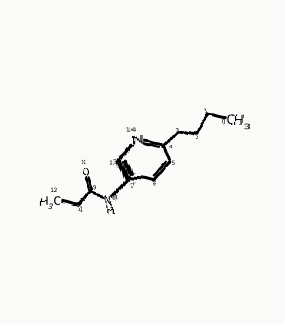 CCCCc1ccc(NC(=O)CC)cn1